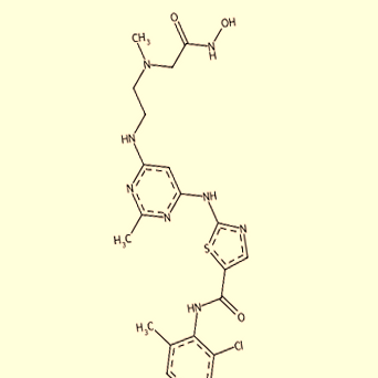 Cc1nc(NCCN(C)CC(=O)NO)cc(Nc2ncc(C(=O)Nc3c(C)cccc3Cl)s2)n1